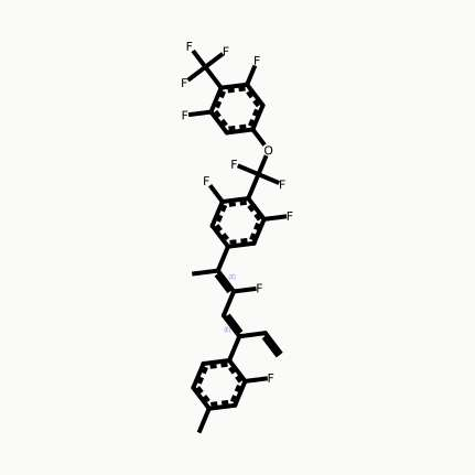 C=C/C(=C\C(F)=C(/C)c1cc(F)c(C(F)(F)Oc2cc(F)c(C(F)(F)F)c(F)c2)c(F)c1)c1ccc(C)cc1F